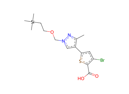 Cc1nn(COCC[Si](C)(C)C)cc1-c1cc(Br)c(C(=O)O)s1